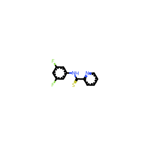 Fc1cc(F)cc(NC(=S)c2ccccn2)c1